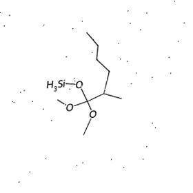 CCCCC(C)C(OC)(OC)O[SiH3]